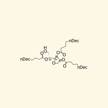 CCCCCCCCCCCCCC(=O)O[C@H]1[C@@H]([C@@H](CO)OC(=O)CCCCCCCCCCCCC)OC[C@@H]1OC(=O)CCCCCCCCCCCCC